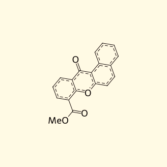 COC(=O)c1cccc2c(=O)c3c(ccc4ccccc43)oc12